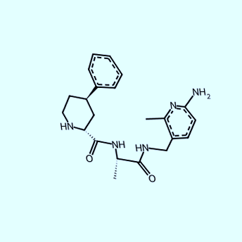 Cc1nc(N)ccc1CNC(=O)[C@H](C)NC(=O)[C@H]1C[C@H](c2ccccc2)CCN1